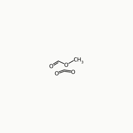 COC=O.O=C=O